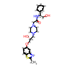 Cc1nc2cc(OC[C@H](O)CN3CCN(CC(=O)N[C@H](CO)c4ccccc4)CC3)ccc2s1